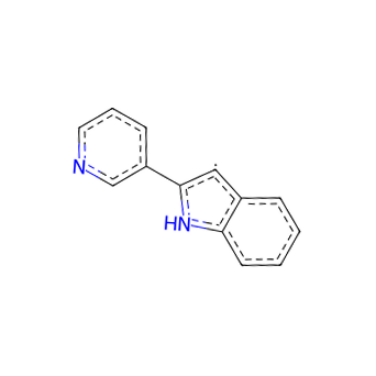 [c]1c(-c2cccnc2)[nH]c2ccccc12